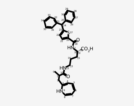 CC(CC1=CC=CC=CN1)C(=O)NCCC[C@H](NC(=O)c1ccc(C(c2ccccc2)c2ccccc2)s1)C(=O)O